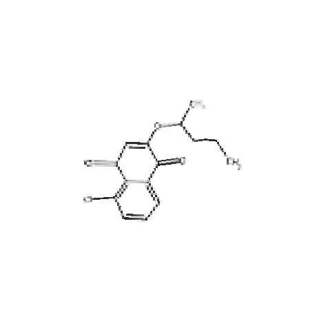 CCCC(C)OC1=CC(=O)c2c(Cl)cccc2C1=O